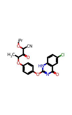 CC(C)OC(C#N)C(=O)C(C)Oc1ccc(Oc2nc(=O)c3cc(Cl)ccc3[nH]2)cc1